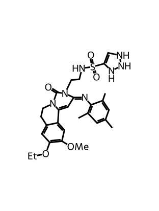 CCOc1cc2c(cc1OC)-c1c/c(=N\c3c(C)cc(C)cc3C)n(CCNS(=O)(=O)C3=CNNN3)c(=O)n1CC2